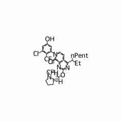 [2H]C([2H])(Oc1nc(C(CC)CCCCC)c2ccn(-c3cc(O)cc(Cl)c3C(F)(F)F)c(=O)c2n1)[C@@H]1CCCN1C